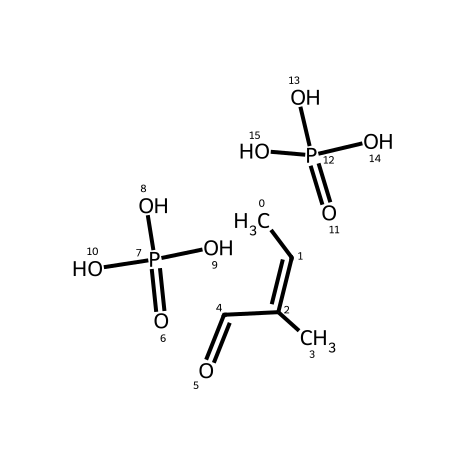 CC=C(C)C=O.O=P(O)(O)O.O=P(O)(O)O